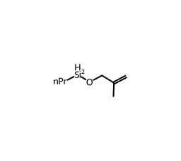 C=C(C)CO[SiH2]CCC